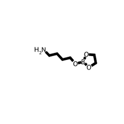 NCCCCOB1OCCO1